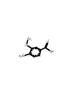 COc1cc(C(=O)O)ccc1[AsH2]